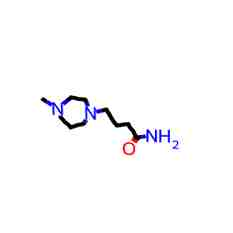 CN1CCCN(CCCC(N)=O)CC1